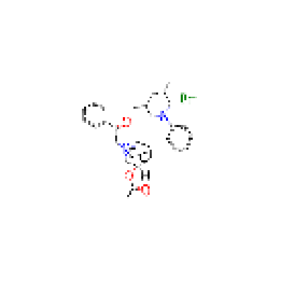 CC(=O)O[C@H]1C[N+]2(CC(=O)c3ccccc3)CCC1CC2.CC1CC(C)CN(c2ccccc2)C1.[Br-]